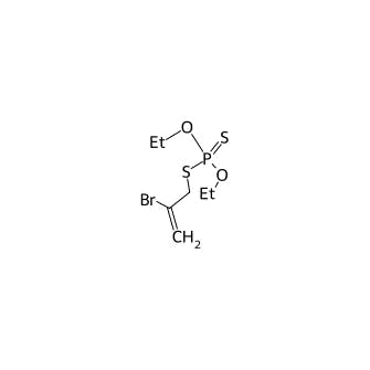 C=C(Br)CSP(=S)(OCC)OCC